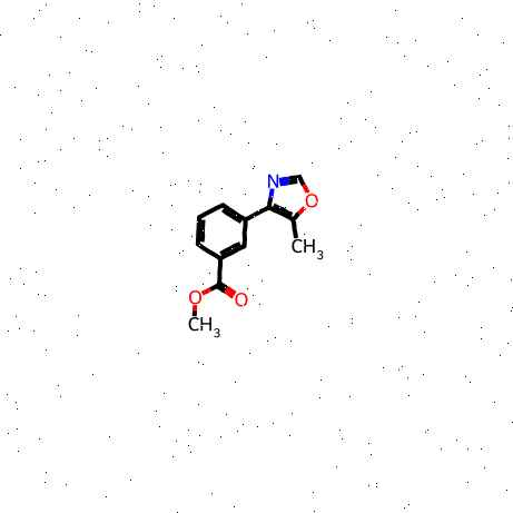 COC(=O)c1cccc(-c2ncoc2C)c1